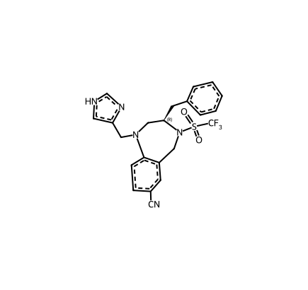 N#Cc1ccc2c(c1)CN(S(=O)(=O)C(F)(F)F)[C@H](Cc1ccccc1)CN2Cc1c[nH]cn1